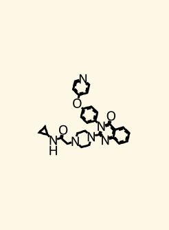 O=C(CN1CCN(c2nc3ccccc3c(=O)n2-c2ccc(Oc3ccncc3)cc2)CC1)NC1CC1